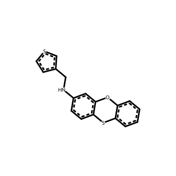 c1ccc2c(c1)Oc1cc(NCc3ccsc3)ccc1S2